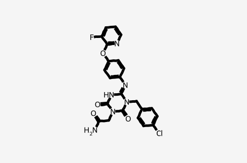 NC(=O)Cn1c(=O)[nH]/c(=N\c2ccc(Oc3ncccc3F)cc2)n(Cc2ccc(Cl)cc2)c1=O